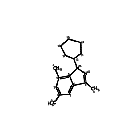 Cc1cc(C)c2c(c1)c(C)nn2C1CCCCC1